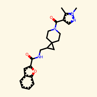 Cc1c(C(=O)N2CCC3(CC2)CC3CNC(=O)c2cc3ccccc3o2)cnn1C